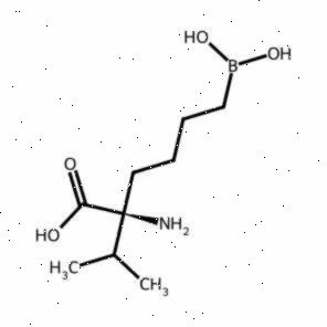 CC(C)[C@@](N)(CCCCB(O)O)C(=O)O